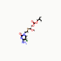 CO[C@@H](COC(=O)OCC(C)C)SCCn1cc(F)c(N)nc1=O